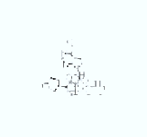 CC1(C)O[C@H]2[C@@H](O1)[C@H](n1ccc3c(CO)ncnc31)O[C@@H]2[C@H](O)c1ccc2c(c1)CC2